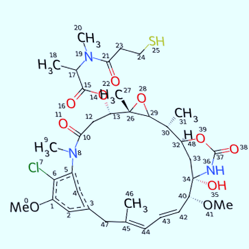 COc1cc2cc(c1Cl)N(C)C(=O)C[C@H](OC(=O)C(C)N(C)C(=O)CCS)[C@]1(C)OC1[C@H](C)[C@@H]1C[C@@](O)(NC(=O)O1)[C@H](OC)/C=C/C=C(\C)C2